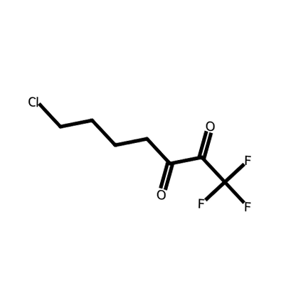 O=C(CCCCCl)C(=O)C(F)(F)F